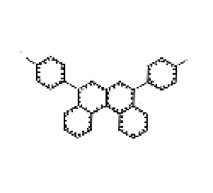 [C-]#[N+]c1ccc(-c2cc3cc(-c4ccc(C#N)cc4)c4ccccc4c3c3ccccc23)cc1